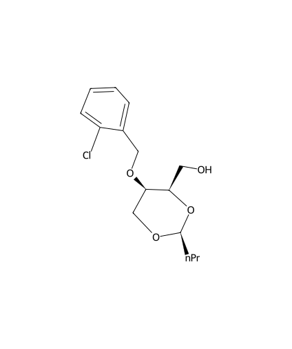 CCC[C@H]1OC[C@@H](OCc2ccccc2Cl)[C@@H](CO)O1